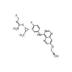 C#CCOc1cnc2c(Nc3ccc(F)c([C@@H]4C(C)[C@@H]4S/C(N)=N\CF)c3)ncnc2c1